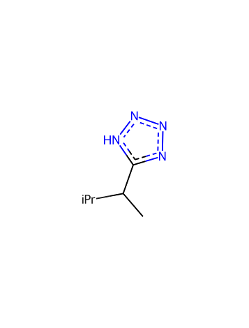 CC(C)C(C)c1nnn[nH]1